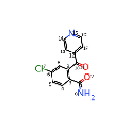 NC(=O)c1ccc(Cl)cc1C(=O)c1ccncc1